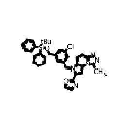 Cc1nnc2ccc3c(cc(-c4ncco4)n3Cc3cc(Cl)cc(CO[Si](c4ccccc4)(c4ccccc4)C(C)(C)C)c3)n12